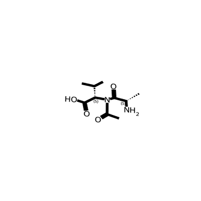 CC(=O)N(C(=O)[C@H](C)N)[C@H](C(=O)O)C(C)C